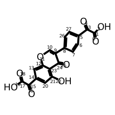 O=C(O)C(=O)c1ccc(-c2coc3cc(C(=O)C(=O)O)cc(O)c3c2=O)cc1